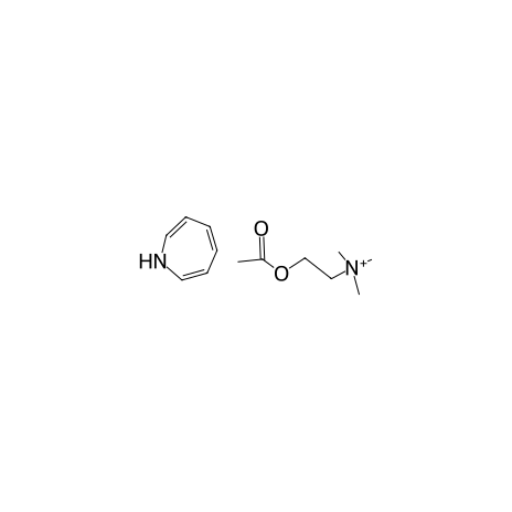 C1=CC=CNC=C1.CC(=O)OCC[N+](C)(C)C